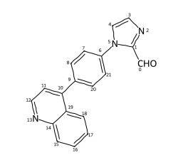 O=Cc1nccn1-c1ccc(-c2ccnc3ccccc23)cc1